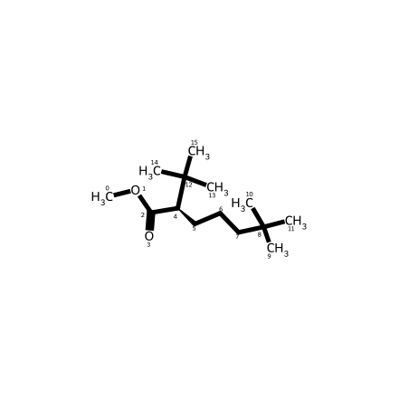 COC(=O)[C@H](CCCC(C)(C)C)C(C)(C)C